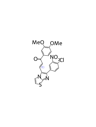 COc1ccc(C(=O)/C=C/c2c(-c3ccc(Cl)c([N+](=O)[O-])c3)nc3sccn23)cc1OC